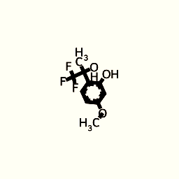 COc1ccc(C(C)(O)C(F)(F)F)c(O)c1